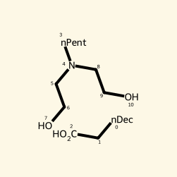 CCCCCCCCCCCC(=O)O.CCCCCN(CCO)CCO